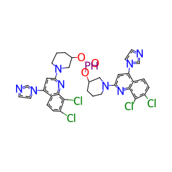 O=[PH](OC1CCCN(c2cc(-n3ccnc3)c3ccc(Cl)c(Cl)c3n2)C1)OC1CCCN(c2cc(-n3ccnc3)c3ccc(Cl)c(Cl)c3n2)C1